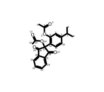 CC(=O)Oc1cc(C(C)C)ccc1C1(OC(C)=O)C(=O)c2ccccc2C1=O